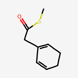 CSC(=O)CC1=CCCC=C1